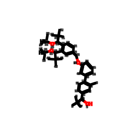 Cc1cc(C(O)C(C)(C)C)ccc1-c1cccc(OCc2ccc(C(O[SiH](C)C)C(C)(C)C)c(C(O[SiH](C)C)C(C)(C)C)c2)c1